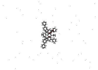 N#Cc1ccc(-c2c(-n3c4ccc(-c5ccccc5)cc4c4cc(-c5ccccc5)ccc43)cncc2-n2c3ccc(-c4ccccc4)cc3c3cc(-c4ccccc4)ccc32)cc1C#N